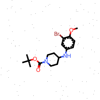 COc1ccc(NC2CCN(C(=O)OC(C)(C)C)CC2)cc1Br